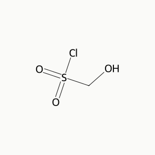 O=S(=O)(Cl)CO